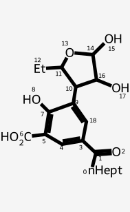 CCCCCCCC(=O)c1cc(C(=O)O)c(O)c(C2C(CC)OC(O)C2O)c1